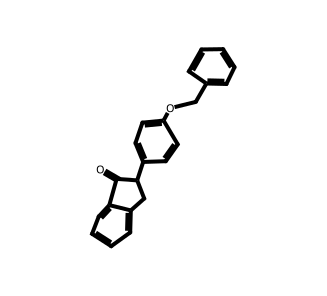 O=C1c2ccccc2CC1c1ccc(OCc2ccccc2)cc1